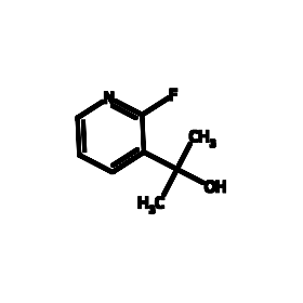 CC(C)(O)c1cccnc1F